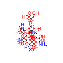 CC(=O)NC1C(O)OC(COOC2OC(C)C(O)C(O)C2O)C(OC2OC(CO)C(OC3OC(CO)C(OC4OC(CO)C(OC5OC(CO)C(O)C(O)C5N)C(O)C4NC(C)=O)C(O)C3NC(C)=O)C(O)C2NC(C)=O)C1O